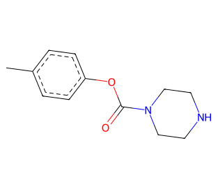 Cc1ccc(OC(=O)N2CCNCC2)cc1